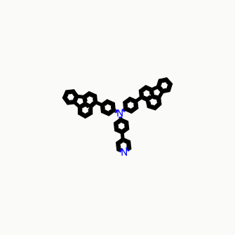 c1ccc2c(c1)-c1cccc3c(-c4ccc(N(c5ccc(-c6ccncc6)cc5)c5ccc(-c6ccc7c8c(cccc68)-c6ccccc6-7)cc5)cc4)ccc-2c13